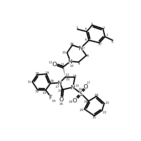 Cc1ccc(C)c(N2CCN(C(=O)[C@@H]3CN(S(=O)(=O)c4ccccc4)C(=O)N3c3ccccc3F)CC2)c1